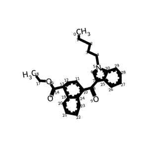 CCCCCn1cc(C(=O)c2ccc(C(=O)OCC)c3ccccc23)c2ccccc21